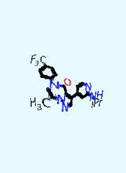 CC(C)Nc1cc(-c2cnn3c2C(=O)N(c2ccc(C(F)(F)F)cc2)C[C@@H]3C)ccn1